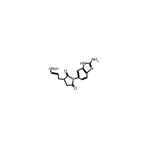 CCCCCCCCCC=CCC1CC(=O)N(c2ccc3nc(N)[nH]c3c2)C1=O